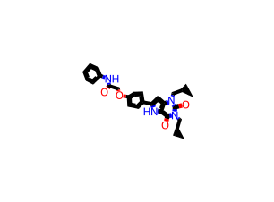 O=C(COc1ccc(-c2cc3c([nH]2)c(=O)n(CC2CC2)c(=O)n3CC2CC2)cc1)Nc1ccccc1